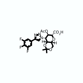 CC(=O)O[C@@H]1[C@@H](n2cc(-c3cc(F)c(F)c(F)c3)nn2)[C@H]2OC(C)(C)OC[C@H]2O[C@H]1C(=O)O